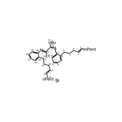 CCCCC/C=C/CCCc1ccccc1/N=C(CCCC)\C(CC)=N\c1ccccc1CCC/C=C/CCCCC.[Ni]